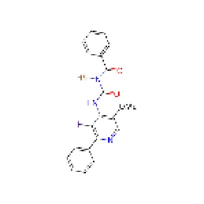 COc1cnc(-c2ccccc2)c(I)c1NC(=O)N(S)C(=O)c1ccccc1